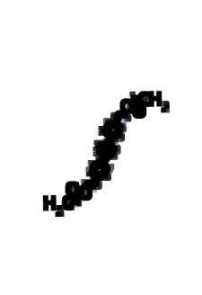 C=CC(=O)O/C=C/c1ccc(-c2ccc(-c3ccc(/C=C/OC(=O)C=C)cc3)cc2)cc1